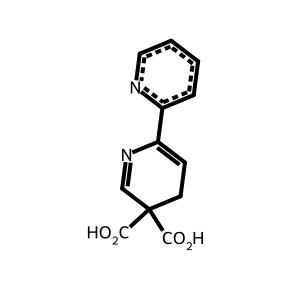 O=C(O)C1(C(=O)O)C=NC(c2ccccn2)=CC1